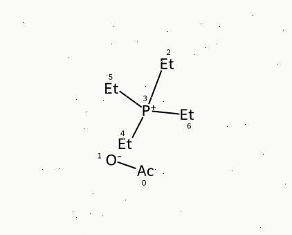 CC(=O)[O-].CC[P+](CC)(CC)CC